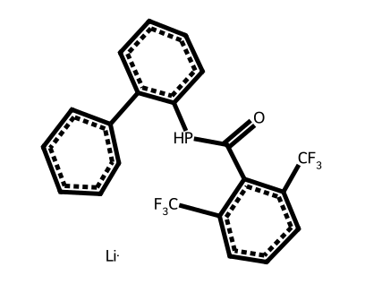 O=C(Pc1ccccc1-c1ccccc1)c1c(C(F)(F)F)cccc1C(F)(F)F.[Li]